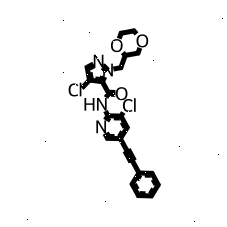 O=C(Nc1ncc(C#Cc2ccccc2)cc1Cl)c1c(Cl)cnn1CC1COCCO1